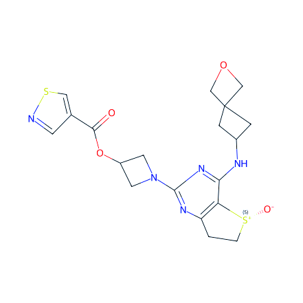 O=C(OC1CN(c2nc3c(c(NC4CC5(COC5)C4)n2)[S@+]([O-])CC3)C1)c1cnsc1